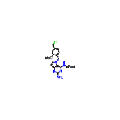 CCCCCNc1nc(N)nc2ccn(Cc3ccc(CCl)cc3OC)c12